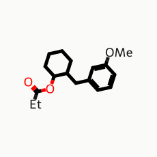 CCC(=O)OC1CCCCC1Cc1cccc(OC)c1